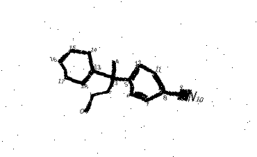 CCCC(C)(c1ccc(C#N)cc1)C1CCCCC1